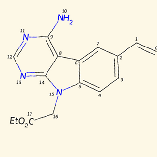 C=Cc1ccc2c(c1)c1c(N)ncnc1n2CC(=O)OCC